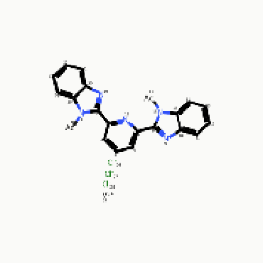 CC(=O)n1c(-c2cccc(-c3nc4ccccc4n3C(C)=O)n2)nc2ccccc21.[Cl-].[Cl-].[Cl-].[V+3]